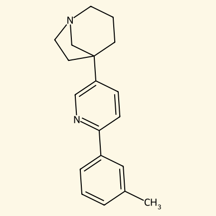 Cc1cccc(-c2ccc(C34CCCN(CC3)C4)cn2)c1